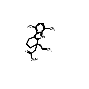 C=CCC1(CC(=O)OC)CCCc2c1[nH]c1c(C)ccc(C#N)c21